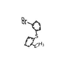 Cc1ccccc1Sc1cccc(Br)c1